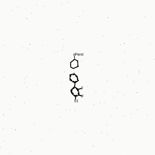 CCCCC[C@H]1CC[C@H](c2ccc(-c3ccc(CC)c(F)c3F)cc2)CC1